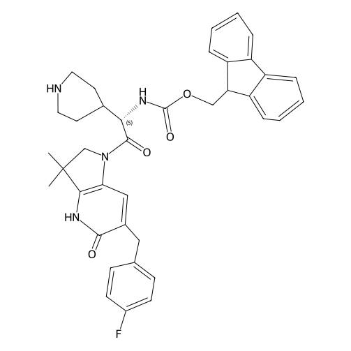 CC1(C)CN(C(=O)[C@@H](NC(=O)OCC2c3ccccc3-c3ccccc32)C2CCNCC2)c2cc(Cc3ccc(F)cc3)c(=O)[nH]c21